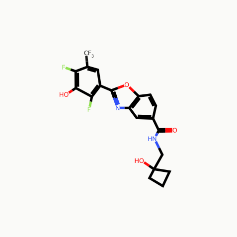 O=C(NCC1(O)CCC1)c1ccc2oc(-c3cc(C(F)(F)F)c(F)c(O)c3F)nc2c1